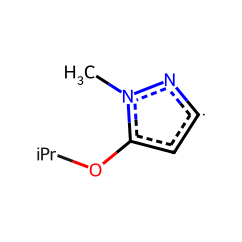 CC(C)Oc1c[c]nn1C